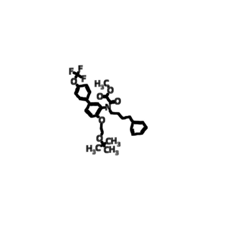 COC(=O)C(=O)N(CCCCc1ccccc1)c1cc(-c2ccc(OC(F)(F)F)cc2)ccc1OCCOC(C)(C)C